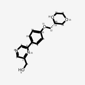 OCc1cncc(-c2ccc(OC[C@H]3COCCO3)cc2)n1